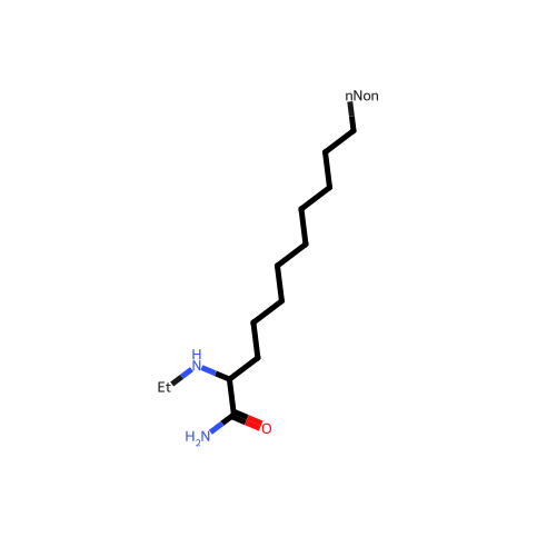 CCCCCCCCCCCCCCCCCCC(NCC)C(N)=O